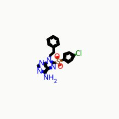 Nc1ncnc2c1nc(S(=O)(=O)c1ccc(Cl)cc1)n2CCc1ccccc1